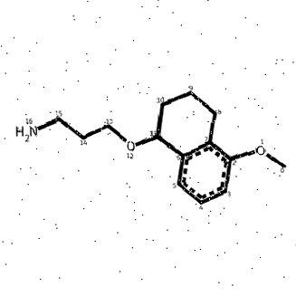 COc1cccc2c1CCCC2OCCCN